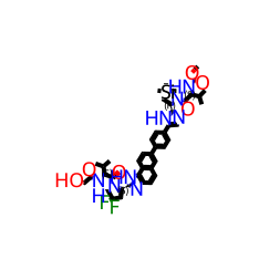 COC(=O)N[C@H](C(=O)N1C[Si](C)(C)C[C@H]1c1ncc(-c2ccc(-c3ccc4c(ccc5nc([C@@H]6CC(F)(F)CN6C(=O)[C@@H](NC(=O)CO)C(C)C)[nH]c54)c3)cc2)[nH]1)C(C)C